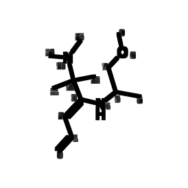 C=C/C=C(\NC(C)COC)C(C)(C)N(C)C